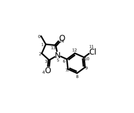 CC1CC(=O)N(c2[c]ccc(Cl)c2)C1=O